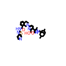 Cc1c(-c2ccc(N3CCc4cccc(C(=O)Nc5nc6ccncc6s5)c4C3)nc2C(=O)O)cnn1CC12CC(C)CC(CC(C)C1)C2